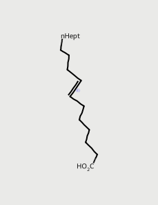 CCCCCCCCCC/C=C/CCCCCC(=O)O